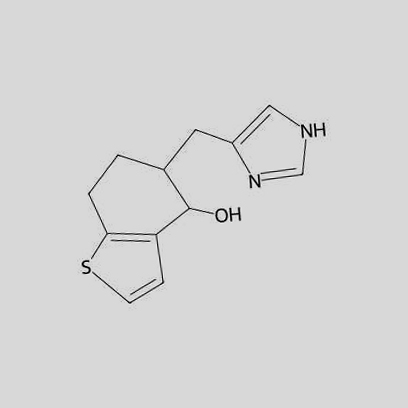 OC1c2ccsc2CCC1Cc1c[nH]cn1